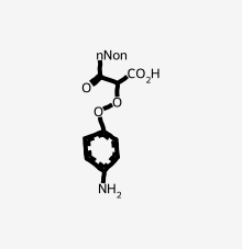 CCCCCCCCCC(=O)C(OOc1ccc(N)cc1)C(=O)O